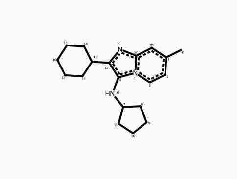 Cc1ccn2c(NC3CCCC3)c(C3CCCCC3)nc2c1